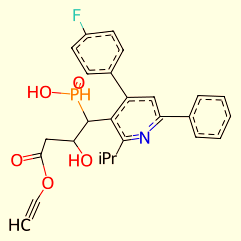 C#COC(=O)CC(O)C(c1c(-c2ccc(F)cc2)cc(-c2ccccc2)nc1C(C)C)[PH](=O)O